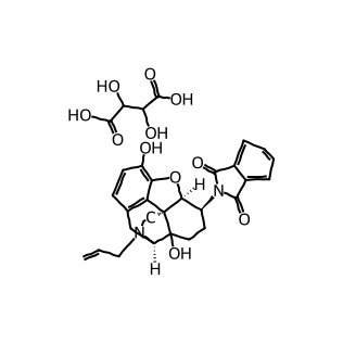 C=CCN1CC[C@]23c4c5ccc(O)c4O[C@H]2[C@@H](N2C(=O)c4ccccc4C2=O)CCC3(O)[C@H]1C5.O=C(O)C(O)C(O)C(=O)O